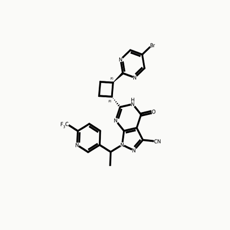 CC(c1ccc(C(F)(F)F)nc1)n1nc(C#N)c2c(=O)[nH]c([C@@H]3CC[C@H]3c3ncc(Br)cn3)nc21